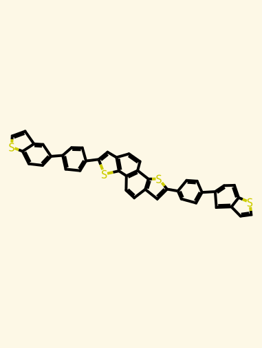 c1cc2cc(-c3ccc(-c4cc5ccc6c(ccc7cc(-c8ccc(-c9ccc%10sccc%10c9)cc8)sc76)c5s4)cc3)ccc2s1